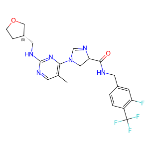 Cc1cnc(NC[C@@H]2CCOC2)nc1N1C=NC(C(=O)NCc2ccc(C(F)(F)F)c(F)c2)C1